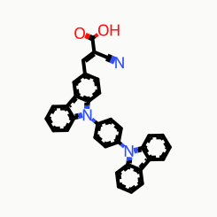 N#C/C(=C\c1ccc2c(c1)c1ccccc1n2-c1ccc(-n2c3ccccc3c3ccccc32)cc1)C(=O)O